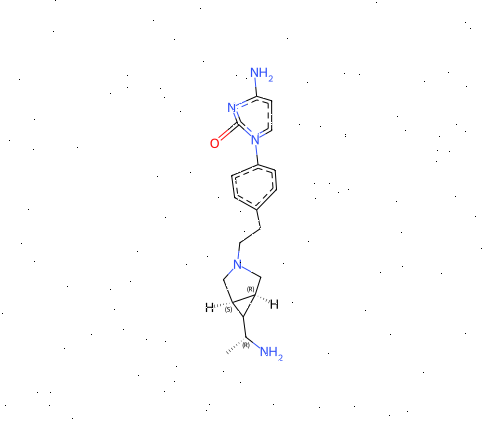 C[C@@H](N)C1[C@H]2CN(CCc3ccc(-n4ccc(N)nc4=O)cc3)C[C@@H]12